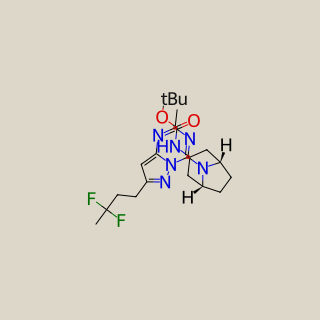 Cc1nc(N2[C@@H]3CC[C@H]2CC(NC(=O)OC(C)(C)C)C3)n2nc(CCC(C)(F)F)cc2n1